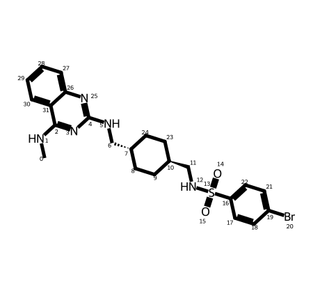 CNc1nc(NC[C@H]2CC[C@H](CNS(=O)(=O)c3ccc(Br)cc3)CC2)nc2ccccc12